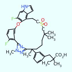 Cn1nc2nc1-c1cc(ccc1F)Oc1c(F)cc3[nH]ccc3c1CCS(=O)(=O)CC(C)(C)CCCC2(C)c1cccc(CC(C)(C)C(=O)O)c1